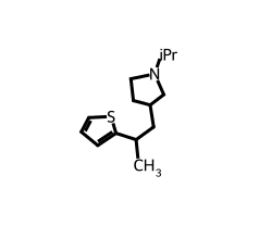 CC(CC1CCN(C(C)C)C1)c1cccs1